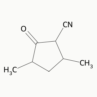 CC1CC(C)C(C#N)C1=O